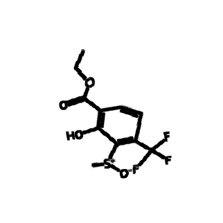 CCOC(=O)c1ccc(C(F)(F)F)c([S+](C)[O-])c1O